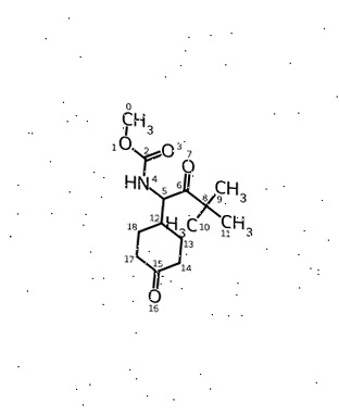 COC(=O)NC(C(=O)C(C)(C)C)C1CCC(=O)CC1